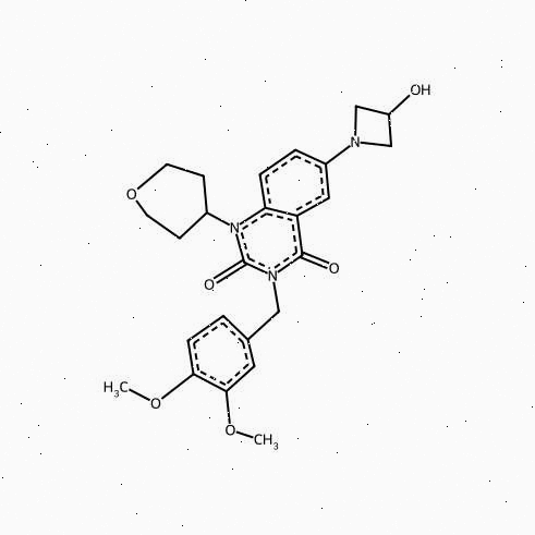 COc1ccc(Cn2c(=O)c3cc(N4CC(O)C4)ccc3n(C3CCOCC3)c2=O)cc1OC